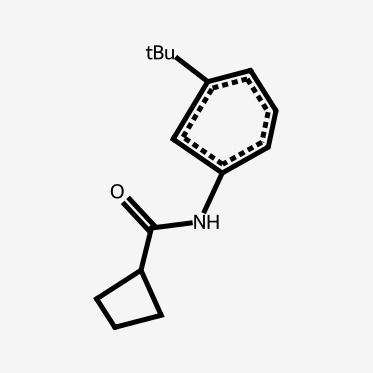 CC(C)(C)c1cccc(NC(=O)C2CCC2)c1